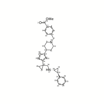 COC(=O)c1ccc(CN2CCC(c3nc(C4(CN[C@@H]5C[C@H]5c5ccccc5)CC4)no3)CC2)cc1